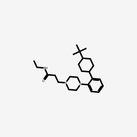 CCNC(=O)CCN1CCN(c2ccccc2C2CCC(C(C)(C)C)CC2)CC1